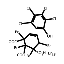 O=C([O-])C1(Br)C=CC(Br)C(Br)(S(=O)(=O)O)C1(Br)C(=O)[O-].Oc1cc(Cl)c(Cl)c(Cl)c1Cl.[Li+].[Li+]